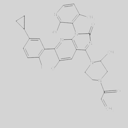 C=CC(=O)N1CCN(c2nc(=O)n(-c3c(C)ccnc3C(C)C)c3nc(-c4cc(C5CC5)ccc4F)c(Cl)cc23)C(C)C1